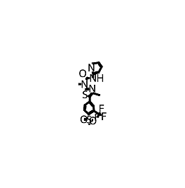 Cc1nc(N(C)C(=O)Nc2ccccn2)sc1-c1ccc(S(C)(=O)=O)c(C(F)(F)F)c1